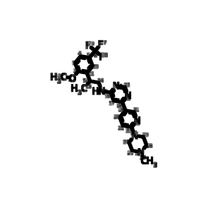 COc1ccc(C(F)(F)F)cc1C(C)CNc1cc(-c2ccc(N3CCN(C)CC3)nc2)ncn1